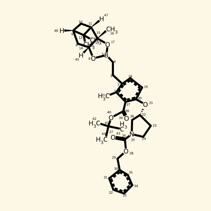 Cc1c(CCB2O[C@@H]3C[C@@H]4C[C@@H](C4(C)C)[C@]3(C)O2)ccc(O[C@@H]2CCN(C(=O)OCc3ccccc3)C2)c1C(=O)OC(C)(C)C